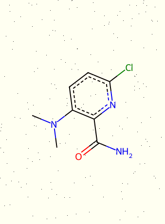 CN(C)c1ccc(Cl)nc1C(N)=O